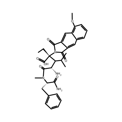 CC[C@](C(=O)O)(C(C(C)C)[C@H](N)C(=O)N(C)[C@@H](Cc1ccccc1)C(N)=O)N1C(=O)c2cc3cccc(OC)c3cc2C1=O